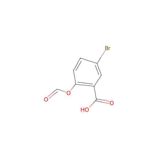 O=COc1ccc(Br)cc1C(=O)O